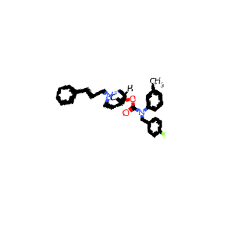 Cc1cccc(N(Cc2ccc(F)cc2)C(=O)O[C@H]2C[N+]3(CCCc4ccccc4)CCC2CC3)c1